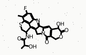 Cc1c(F)cc2nc3c(c4c2c1SCC4NC(=O)C(C)O)Cn1c-3cc2c(c1=O)COC(=O)C2O